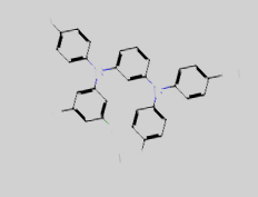 Cc1ccc(N(c2ccc(C)cc2)c2cccc(N(c3ccc(C(C)(C)C)cc3)c3cc(C)cc(Cl)c3)c2)cc1